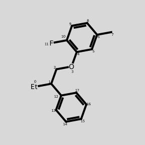 CCC(COc1cc(C)ccc1F)c1ccccc1